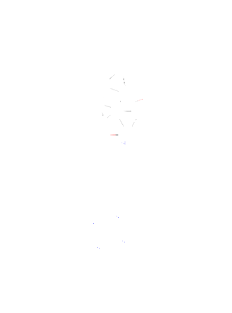 O=C(NCCOCCOCCN1CCNCCNCCNCC1)c1ccc2c(c1)C1(OC2=O)c2ccc(O)cc2Oc2cc(O)ccc21